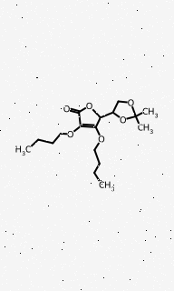 CCCCOC1=C(OCCCC)C(C2COC(C)(C)O2)OC1=O